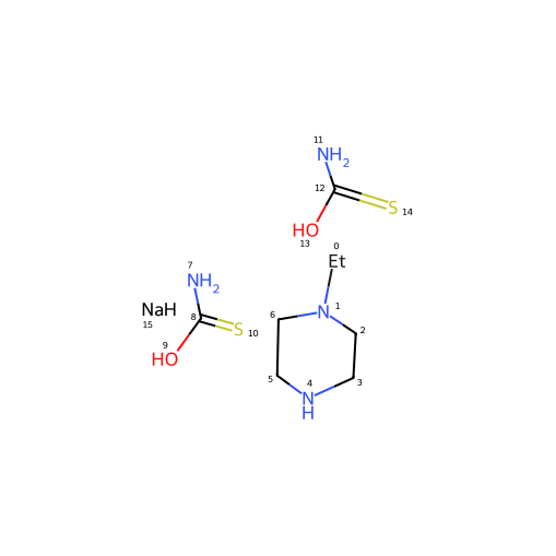 CCN1CCNCC1.NC(O)=S.NC(O)=S.[NaH]